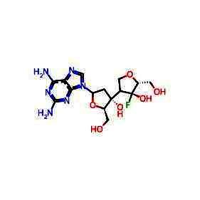 Nc1nc(N)c2ncn(C3C[C@@](O)(C4CO[C@H](CO)[C@]4(O)F)[C@@H](CO)O3)c2n1